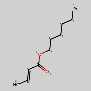 CC(C)CCCCCOC(=O)C=CC#N